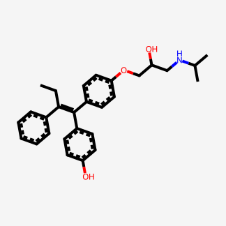 CCC(=C(c1ccc(O)cc1)c1ccc(OCC(O)CNC(C)C)cc1)c1ccccc1